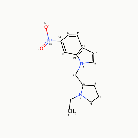 CCN1CCCC1Cn1ccc2ccc([N+](=O)[O-])cc21